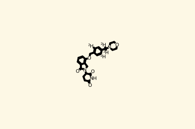 [2H]c1cc(C([2H])([2H])N2CCOCC2)c([2H])cc1COc1cccc2c1CN(C1CCC(=O)NC1=O)C2=O